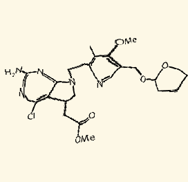 COC(=O)CC1CN(Cc2ncc(COC3CCCCO3)c(OC)c2C)c2nc(N)nc(Cl)c21